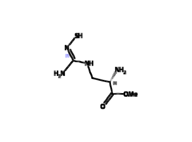 COC(=O)[C@@H](N)CN/C(N)=N\S